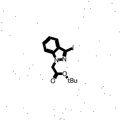 CC(C)(C)OC(=O)Cn1nc(I)c2ccccc21